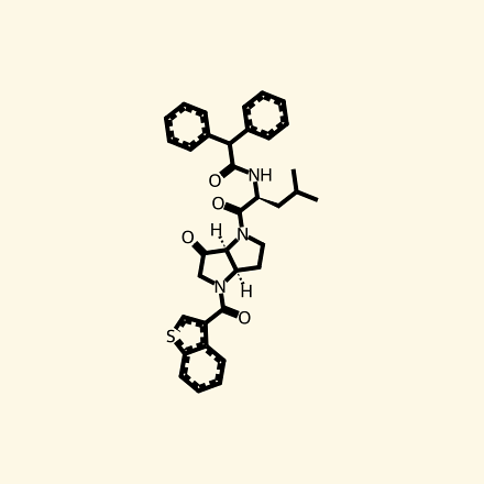 CC(C)C[C@H](NC(=O)C(c1ccccc1)c1ccccc1)C(=O)N1CC[C@@H]2[C@H]1C(=O)CN2C(=O)c1csc2ccccc12